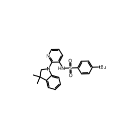 CC(C)(C)c1ccc(S(=O)(=O)Nc2cccnc2N2CC(C)(C)c3ccccc32)cc1